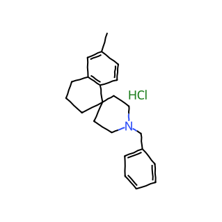 Cc1ccc2c(c1)CCCC21CCN(Cc2ccccc2)CC1.Cl